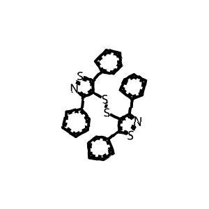 c1ccc(-c2nsc(-c3ccccc3)c2SSc2c(-c3ccccc3)nsc2-c2ccccc2)cc1